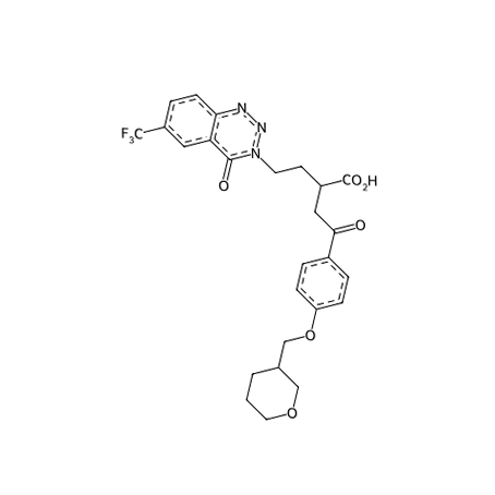 O=C(CC(CCn1nnc2ccc(C(F)(F)F)cc2c1=O)C(=O)O)c1ccc(OCC2CCCOC2)cc1